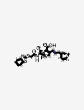 O=C(CSc1nc2ccccc2s1)N[C@@H]1C(=O)N2C(C(=O)O)=C(/C=C/Cc3cccnc3)CS[C@H]12